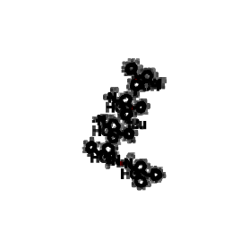 C=CC1(O)C(=Cc2ccccc2)CCCC1CN(C)C.CN(C)CC1CCCC(=Cc2ccccc2)C1(O)C1CCCC1.CN(C)CC1CCCC(=Cc2ccccc2)C1(O)C1CCCCC1.CN(C)CC1CCCC(=Cc2ccccc2)C1(O)c1ccc(C(C)(C)C)cc1.Cc1cccc(C2(O)C(=Cc3ccccc3)CCCC2CN(C)C)c1